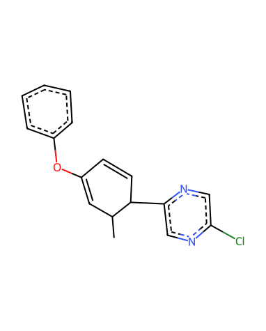 CC1C=C(Oc2ccccc2)C=CC1c1cnc(Cl)cn1